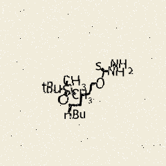 CCCCC(CCCCOC(=S)NN)O[Si](C)(C)C(C)(C)C